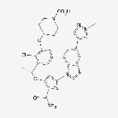 C[C@@H](Oc1cc(-n2cnc3cc(-c4cnn(C)c4)ccc32)sc1C(N)=O)c1cccc(OC2CCN(C(=O)O)CC2)c1Cl